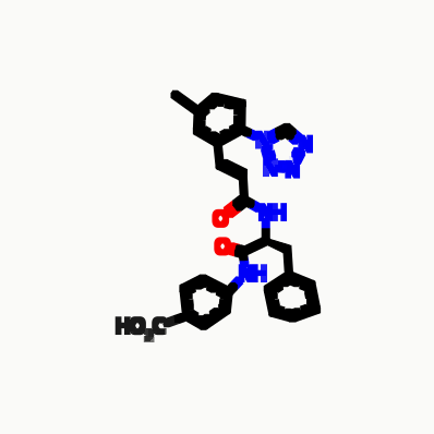 Cc1ccc(-n2cnnn2)c(/C=C/C(=O)N[C@@H](Cc2ccccc2)C(=O)Nc2ccc(C(=O)O)cc2)c1